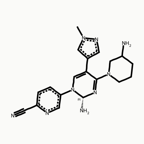 Cn1cc(C2=CN(c3ccc(C#N)nc3)[C@@H](N)N=C2N2CCCC(N)C2)cn1